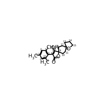 Cc1cc(C)c(C2=C(O)C3(CCC4(CCCO4)CC3)OC2=O)c(C)c1